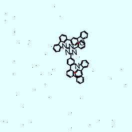 c1ccc(-c2cccc(-c3ccc(-c4nc(-c5ccccc5)nc(-n5c6ccccc6c6cccc(-c7ccc8oc9ccccc9c8c7)c65)n4)cc3-n3c4ccccc4c4ccccc43)c2)cc1